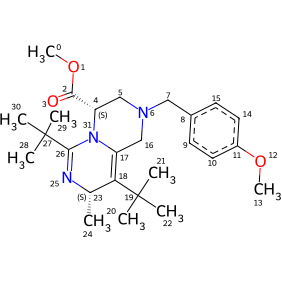 COC(=O)[C@@H]1CN(Cc2ccc(OC)cc2)CC2=C(C(C)(C)C)[C@H](C)N=C(C(C)(C)C)N21